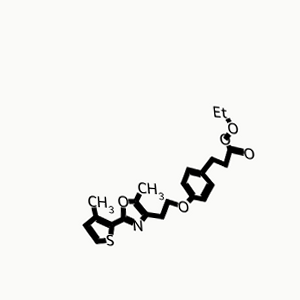 CCOOC(=O)CCc1ccc(OCCc2nc(-c3sccc3C)oc2C)cc1